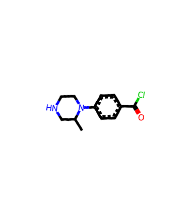 CC1CNCCN1c1ccc(C(=O)Cl)cc1